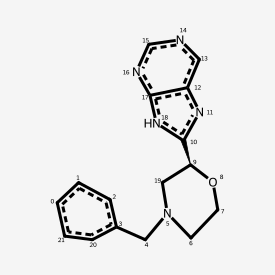 c1ccc(CN2CCO[C@H](c3nc4cncnc4[nH]3)C2)cc1